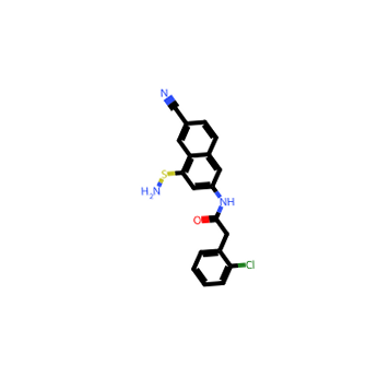 N#Cc1ccc2cc(NC(=O)Cc3ccccc3Cl)cc(SN)c2c1